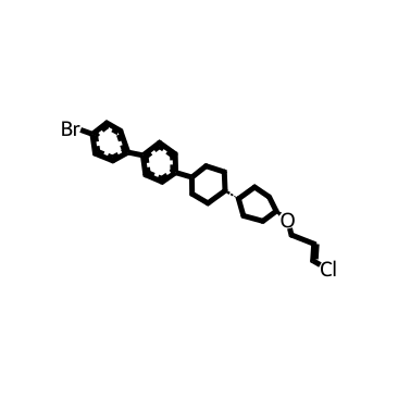 Cl/C=C/CO[C@H]1CC[C@H](C2CCC(c3ccc(-c4ccc(Br)cc4)cc3)CC2)CC1